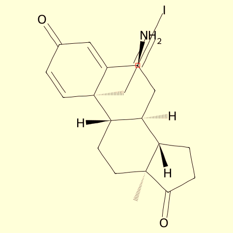 C[C@]12CC[C@H]3[C@@H](C[C@H](N)C4=CC(=O)C=C[C@@]43CC#CI)[C@@H]1CCC2=O